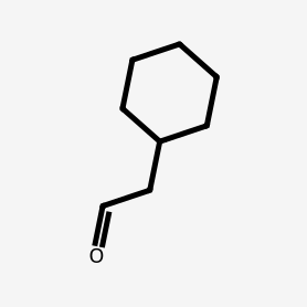 O=CC[C]1CCCCC1